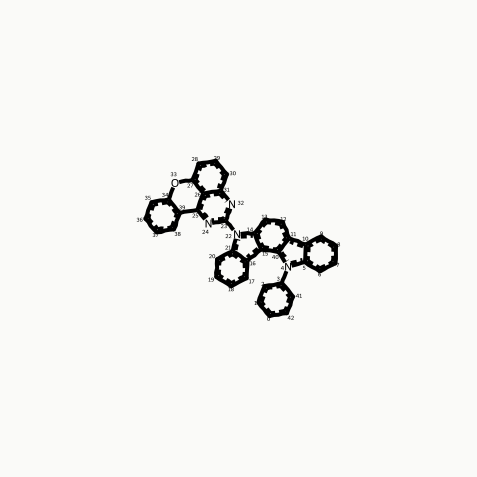 c1ccc(-n2c3ccccc3c3ccc4c(c5ccccc5n4-c4nc5c6c(cccc6n4)Oc4ccccc4-5)c32)cc1